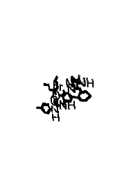 CCCC(CCC)Oc1c(Br)cc(-c2ccccc2-c2nnn[nH]2)cc1NC(=O)Nc1ccc(C)cc1